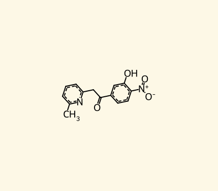 Cc1cccc(CC(=O)c2ccc([N+](=O)[O-])c(O)c2)n1